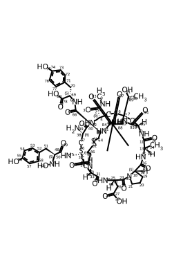 CNC(=O)[C@@H]1CSSC[C@@H]2NC(=O)[C@H](C)NC(=O)[C@@H]3CCCN3C(=O)[C@H](CC(=O)O)NC(=O)[C@H](CSSC[C@H](N)C(=O)N1)NC(=O)[C@@H](NC(=O)[C@H](Cc1ccc(O)cc1)NO)CSSC[C@@H](C(=O)N[C@@H](Cc1ccc(O)cc1)C(=O)O)NC(=O)CNC(=O)[C@H]([C@@H](C)O)NC2=O